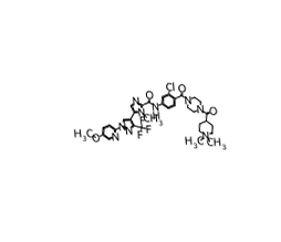 COc1ccc(-n2cc(-c3cnc(C(=O)Nc4ccc(C(=O)N5CCN(C(=O)C6CC[N+](C)(C)CC6)CC5)c(Cl)c4)n3C)c(C(F)(F)F)n2)nc1